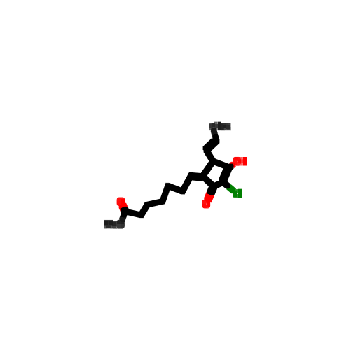 CCCCCCC=CC1C(=CCCCCCC(=O)OC)C(=O)C(Cl)=C1O